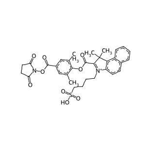 Cc1cc(C(=O)ON2C(=O)CCC2=O)cc(C)c1OC(=O)C1=[N+](CCCCS(=O)(=O)O)c2ccc3ccccc3c2C1(C)C